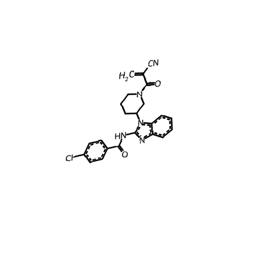 C=C(C#N)C(=O)N1CCCC(n2c(NC(=O)c3ccc(Cl)cc3)nc3ccccc32)C1